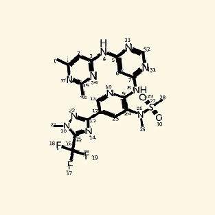 Cc1cc(Nc2cc(Nc3ncc(-c4nc(C(F)(F)F)n(C)n4)cc3N(C)S(C)(=O)=O)ncn2)nc(C)n1